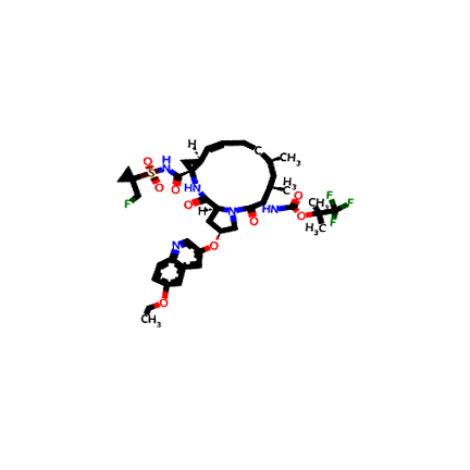 CCOc1ccc2ncc(O[C@@H]3C[C@H]4C(=O)N[C@]5(C(=O)NS(=O)(=O)C6(CF)CC6)C[C@H]5/C=C\CC[C@@H](C)C[C@@H](C)[C@H](NC(=O)OC(C)(C)C(F)(F)F)C(=O)N4C3)cc2c1